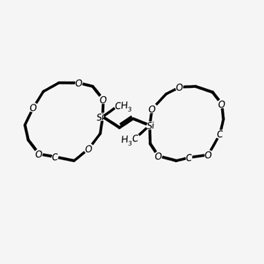 C[Si]1(C=C[Si]2(C)COCCOCCOCCOCO2)COCCOCCOCCOCO1